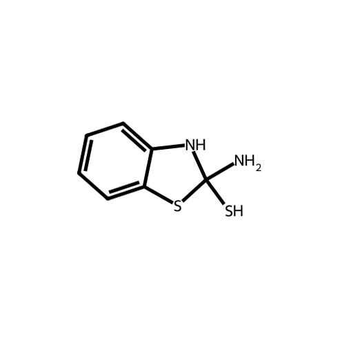 NC1(S)Nc2ccccc2S1